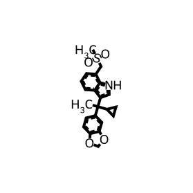 CC(c1ccc2c(c1)OCO2)(c1c[nH]c2c(CS(C)(=O)=O)cccc12)C1CC1